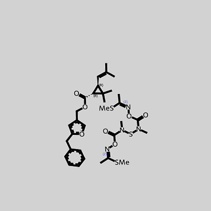 CC(C)=C[C@@H]1[C@@H](C(=O)OCc2coc(Cc3ccccc3)c2)C1(C)C.CS/C(C)=N\OC(=O)N(C)SN(C)C(=O)O/N=C(/C)SC